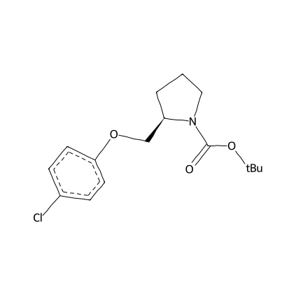 CC(C)(C)OC(=O)N1CCC[C@@H]1COc1ccc(Cl)cc1